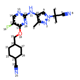 Cc1nn(C(C)(C)C#N)cc1Nc1ncc(F)c(OCC2CCC(C#N)CC2)n1